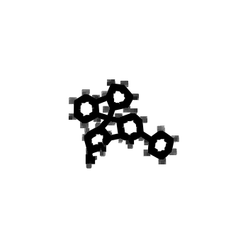 Brc1ccc2c(n1)-c1nc(-c3ccccc3)ccc1C21c2ccccc2-c2ccccc21